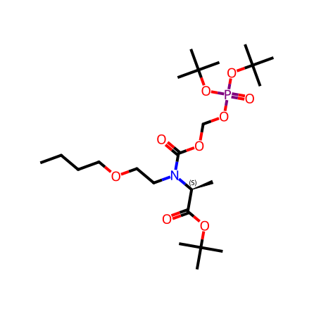 CCCCOCCN(C(=O)OCOP(=O)(OC(C)(C)C)OC(C)(C)C)[C@@H](C)C(=O)OC(C)(C)C